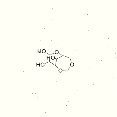 OC1OC2COCOC(C1O)C2O